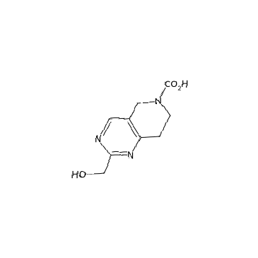 O=C(O)N1CCc2nc(CO)ncc2C1